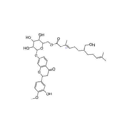 COc1ccc(C2CC(=O)c3ccc(OC4OC(COC(=O)C/C(C)=C/CCC(CO)CCC=C(C)C)C(O)C(O)C4O)cc3O2)cc1O